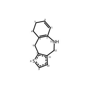 C1=CC2=C(CC1)Cc1sccc1CN2